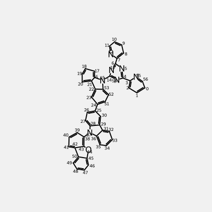 c1ccc(-c2nc(-c3ccccn3)nc(-n3c4ccccc4c4cc(-c5ccc6c(c5)c5ccccc5n6-c5cccc6c5oc5ccccc56)ccc43)n2)nc1